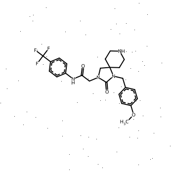 COc1ccc(CN2C(=O)N(CC(=O)Nc3ccc(C(F)(F)F)cc3)CC23CCNCC3)cc1